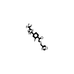 O=C(CSCc1cocn1)c1ccc(-c2noc(C(F)(F)F)n2)cc1F